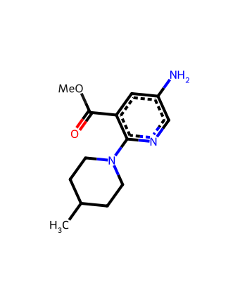 COC(=O)c1cc(N)cnc1N1CCC(C)CC1